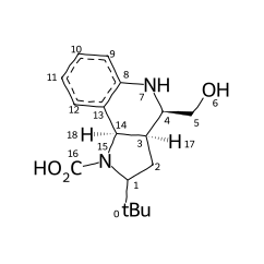 CC(C)(C)C1C[C@@H]2[C@H](CO)Nc3ccccc3[C@@H]2N1C(=O)O